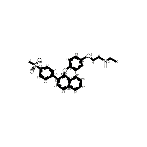 CCNCCOc1ccc(Oc2c(-c3ccc(S(C)(=O)=O)cc3)ccc3ccccc23)cc1